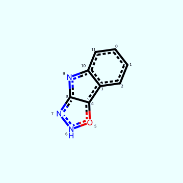 c1ccc2c3o[nH]nc-3nc2c1